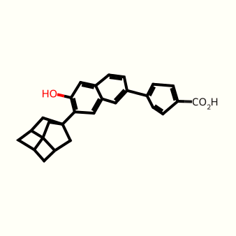 O=C(O)c1ccc(-c2ccc3cc(O)c(C45CC6CC7CC(C4)C76C5)cc3c2)cc1